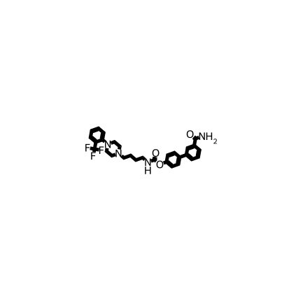 NC(=O)c1cccc(-c2ccc(OC(=O)NCCCCN3CCN(c4ccccc4C(F)(F)F)CC3)cc2)c1